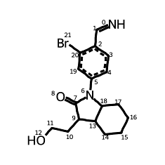 N=Cc1ccc(N2C(=O)C(CCO)C3CCCCC32)cc1Br